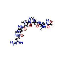 C=C(Br)C(=O)Nc1cc(C(=O)Nc2cc(C(=O)Nc3cc(C(=O)Nc4cc(C(=O)NCCC(=N)N)n(C)c4)n(C)c3)n(C)c2)n(C)n1